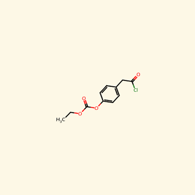 CCOC(=O)Oc1ccc(CC(=O)Cl)cc1